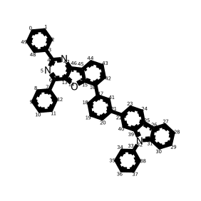 c1ccc(-c2nc(-c3ccccc3)c3oc4c(-c5cccc(-c6ccc7c8ccccc8n(-c8ccccc8)c7c6)c5)cccc4c3n2)cc1